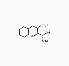 CCC[C@@H]([C@@H](CC1CCCCC1)C(=O)O)N(O)C=O